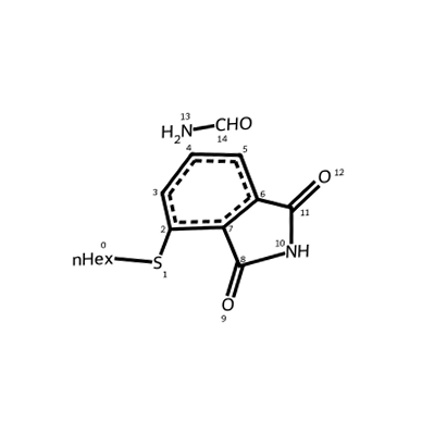 CCCCCCSc1cccc2c1C(=O)NC2=O.NC=O